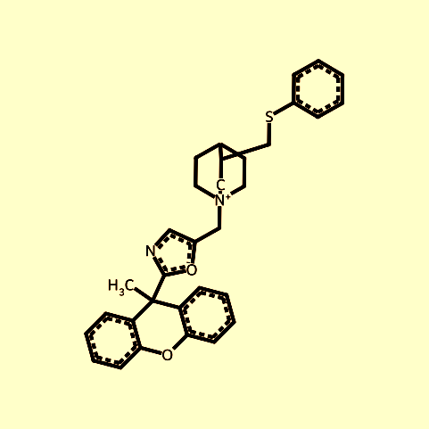 CC1(c2ncc(C[N+]34CCC(CC3)C(CSc3ccccc3)C4)o2)c2ccccc2Oc2ccccc21